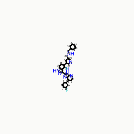 Fc1cccc(-c2ccnc3[nH]c(-c4n[nH]c5ccc(-c6cncc(CNCc7ccccc7)c6)c(F)c45)nc23)c1